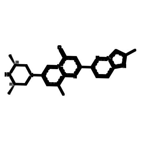 Cc1cn2nc(-c3cc(=O)n4cc(N5C[C@@H](C)N[C@@H](C)C5)cc(C)c4n3)ccc2n1